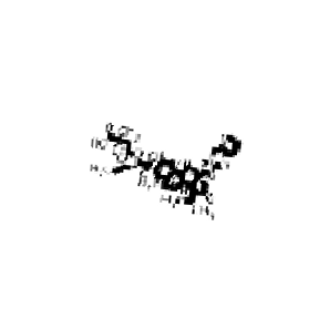 CCCC[C@H](OC(=O)CC(C)(C)C(=O)O)C(C)(C)[C@@H]1CC[C@]2(C)[C@H](CC[C@@H]3C4=C(C(C)C)C(=O)C[C@]4([C@@H]4CN(Cc5ccccn5)C(=O)O4)CC[C@]32C)C1